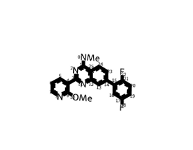 CNc1nc(-c2cccnc2OC)nc2cc(-c3cc(F)ccc3F)ccc12